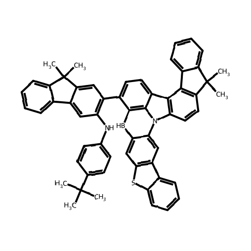 CC(C)(C)c1ccc(Nc2cc3c(cc2-c2ccc4c5c6c(ccc5n5c4c2Bc2cc4sc7ccccc7c4cc2-5)C(C)(C)c2ccccc2-6)C(C)(C)c2ccccc2-3)cc1